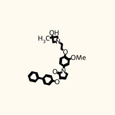 COc1cc(N2CC=C(Oc3ccc(-c4ccccc4)cc3)C2=O)ccc1OCCN1CC(C)(O)C1